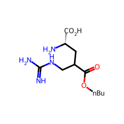 CCCCOC(=O)C(CNC(=N)N)C[C@H](N)C(=O)O